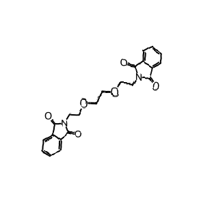 O=C1c2ccccc2C(=O)N1CCOCCOCCN1C(=O)c2ccccc2C1=O